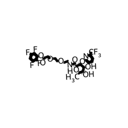 C[C@H]1O[C@H](C(=O)NCCOCCOCC(=O)Oc2c(F)c(F)cc(F)c2F)[C@H](Oc2cccc(C(F)(F)F)n2)[C@@H](O)[C@H]1O